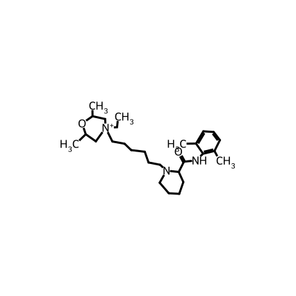 CC[N+]1(CCCCCCN2CCCCC2C(=O)Nc2c(C)cccc2C)CC(C)OC(C)C1